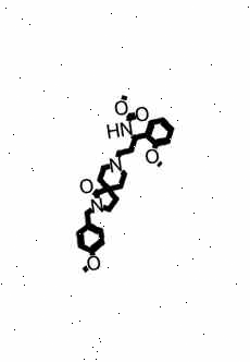 COC(=O)NC(CCN1CCC2(CC1)CCN(Cc1ccc(OC)cc1)C2=O)c1ccccc1OC